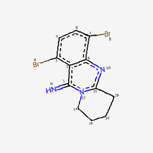 N=c1c2c(Br)ccc(Br)c2nc2n1CCCC2